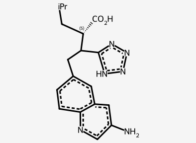 CC(C)C[C@H](C(=O)O)C(Cc1ccc2ncc(N)cc2c1)c1nnn[nH]1